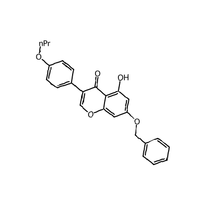 CCCOc1ccc(-c2coc3cc(OCc4ccccc4)cc(O)c3c2=O)cc1